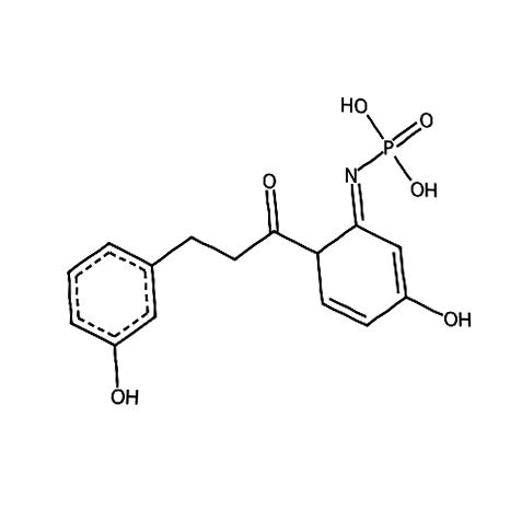 O=C(CCc1cccc(O)c1)C1C=CC(O)=CC1=NP(=O)(O)O